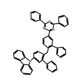 c1ccc(-c2nc(-c3ccccc3)nc(-c3ccc(Cc4ccc(-n5c6ccccc6c6ccccc65)cc4-c4ccccc4)c(-c4ccccc4)c3)n2)cc1